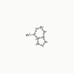 CC(C)c1cnnc2ncnn12